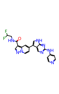 O=C(NCC(F)F)c1cnn2ccc(-c3c[nH]c4nc(Nc5ccncc5)ncc34)cc12